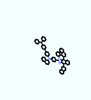 c1ccc(C(c2ccccc2)c2ccc(-c3ccc(N(c4ccc(-c5nc6c(-c7ccc8ccccc8c7)c7ccccc7c(-c7ccc8ccccc8c7)c6n5-c5ccccc5)cc4)c4cccc5ccccc45)cc3)cc2)cc1